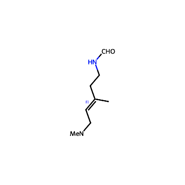 CNC/C=C(\C)CCNC=O